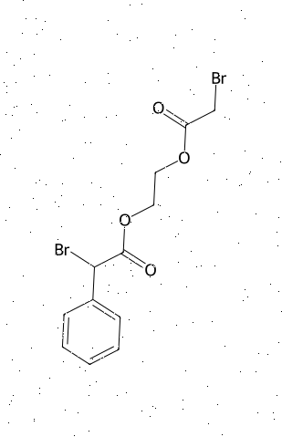 O=C(CBr)OCCOC(=O)C(Br)c1ccccc1